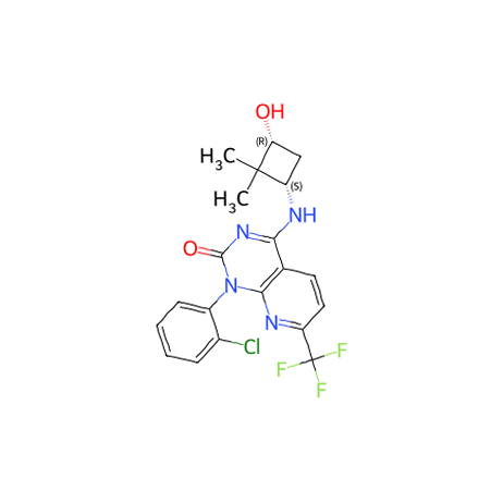 CC1(C)[C@H](O)C[C@@H]1Nc1nc(=O)n(-c2ccccc2Cl)c2nc(C(F)(F)F)ccc12